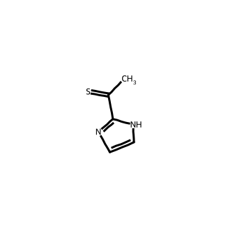 CC(=S)c1ncc[nH]1